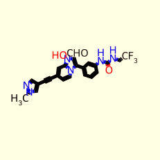 Cn1cc(C#Cc2ccn3c(-c4cccc(NC(=O)NCC(F)(F)F)c4)cnc3c2)cn1.O=CO